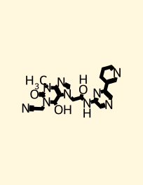 CN1C(=O)N(CC#N)C(O)c2c1ncn2CC(O)Nc1cncc(C2=CN=CCC2)n1